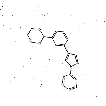 c1cncc(-n2cc(-c3cccc(C4OCCCO4)n3)cn2)c1